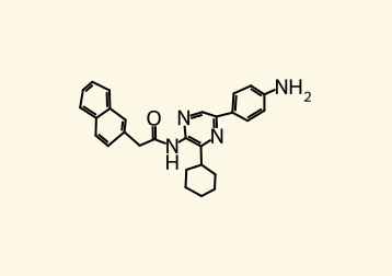 Nc1ccc(-c2cnc(NC(=O)Cc3ccc4ccccc4c3)c(C3CCCCC3)n2)cc1